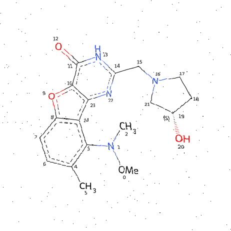 CON(C)c1c(C)ccc2oc3c(=O)[nH]c(CN4CC[C@H](O)C4)nc3c12